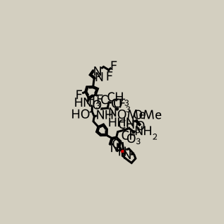 COC(=O)N[C@H](C(=O)NC(Cc1ccc(-c2cnc(N3CC4CCC(C3)N4C3COC3)cc2CC(C)([C@H](NC(=O)OC)C(N)=O)C(F)(F)F)cc1)[C@@H](O)CNc1c(F)cc(-c2ccn(CC(F)F)n2)cc1F)C(C)(C)C(F)(F)F